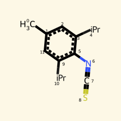 Cc1cc(C(C)C)c(N=C=S)c(C(C)C)c1